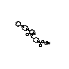 CC(C)(C)OC(=O)N1CCC(Cn2nccc(N3CCN(c4ccccc4)CC3)c2=O)CC1